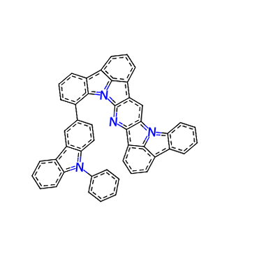 c1ccc(-n2c3ccccc3c3cc(-c4cccc5c6cccc7c8cc9c(nc8n(c45)c76)c4cccc5c6ccccc6n9c54)ccc32)cc1